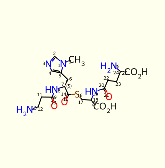 Cn1cncc1C[C@H](NC(=O)CCN)C(=O)SCC(NC(=O)CCC(N)C(=O)O)C(=O)O